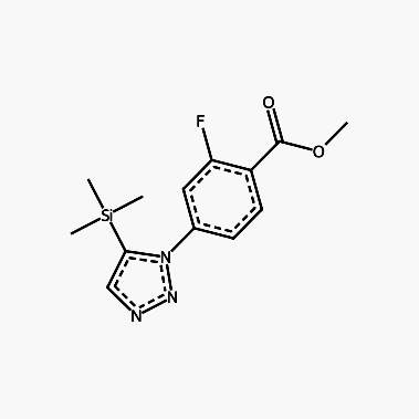 COC(=O)c1ccc(-n2nncc2[Si](C)(C)C)cc1F